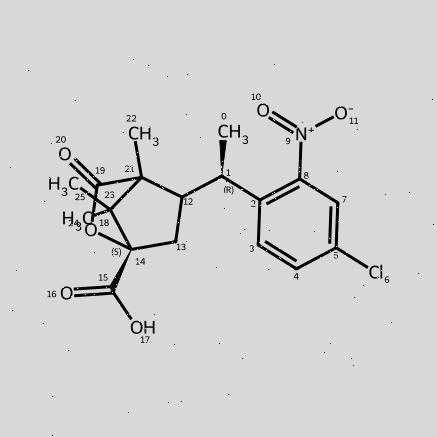 C[C@@H](c1ccc(Cl)cc1[N+](=O)[O-])C1C[C@]2(C(=O)O)OC(=O)C1(C)C2(C)C